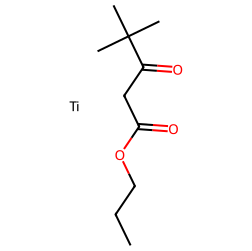 CCCOC(=O)CC(=O)C(C)(C)C.[Ti]